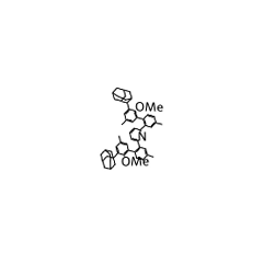 COc1c(-c2ccc(C)cc2-c2cccc(-c3cc(C)ccc3-c3cc(C)cc(C45CC6CC(CC(C6)C4)C5)c3OC)n2)cc(C)cc1C1C2CC3CC(C2)CC1C3